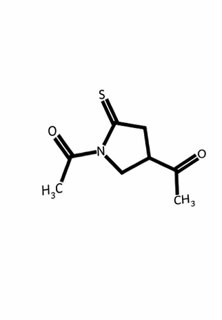 CC(=O)C1CC(=S)N(C(C)=O)C1